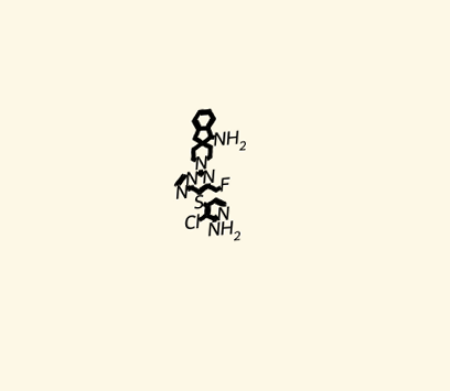 Nc1nccc(Sc2c(CF)nc(N3CCC4(CC3)Cc3ccccc3C4N)n3ccnc23)c1Cl